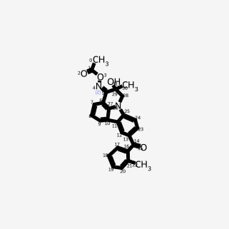 CC(=O)O/N=C1/c2cccc3c4cc(C(=O)c5ccccc5C)ccc4n(c23)CC1(C)O